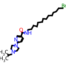 CC(C)CN1CCN(c2ccc(C(=O)NCCCCCCCCCCCCCCBr)cn2)CC1